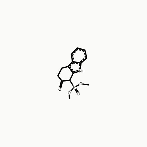 COP(=O)(OC)C1C(=O)CCc2c1[nH]c1ccccc21